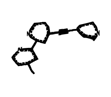 Cc1ccnc(-c2cc(C#Cc3ccncc3)ccn2)c1